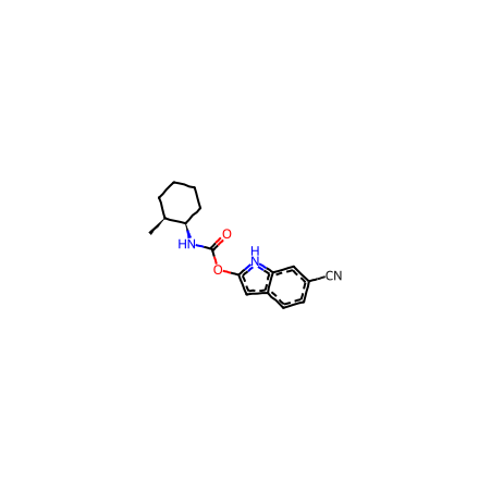 C[C@H]1CCCC[C@H]1NC(=O)Oc1cc2ccc(C#N)cc2[nH]1